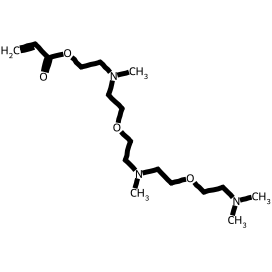 C=CC(=O)OCCN(C)CCOCCN(C)CCOCCN(C)C